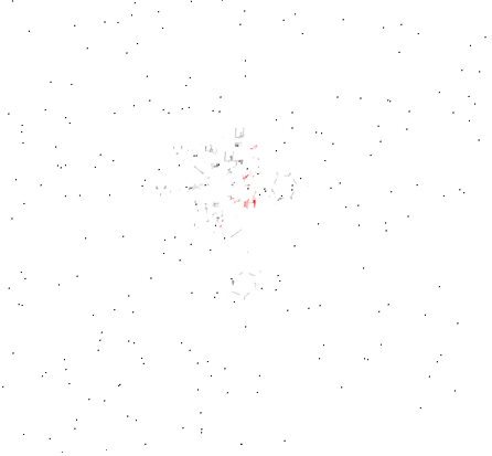 C=C(CCc1ccccc1)O[C@H]1C[C@@]2(O)[C@@H](OC(=O)c3ccccc3)[C@@H]3[C@]4(OC(C)=O)CO[C@@H]4C[C@H](OC)[C@@]3(C)C(=C)[C@H](OC)C(=C1C)C2(C)C